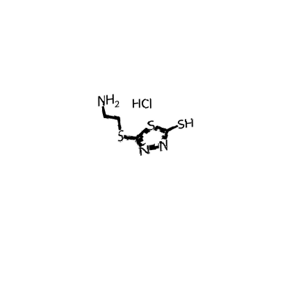 Cl.NCCSc1nnc(S)s1